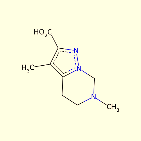 Cc1c(C(=O)O)nn2c1CCN(C)C2